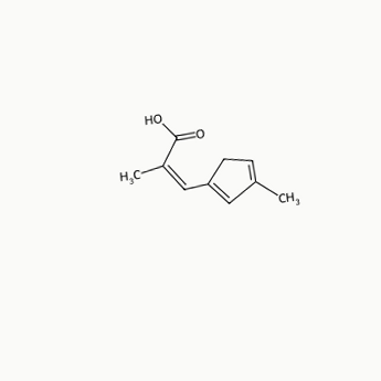 CC1=CCC(C=C(C)C(=O)O)=C1